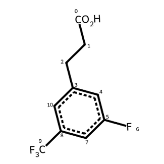 O=C(O)CCc1cc(F)cc(C(F)(F)F)c1